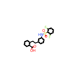 O=C(O)c1ccccc1CCc1cccc(NS(=O)(=O)c2c(F)cccc2F)c1